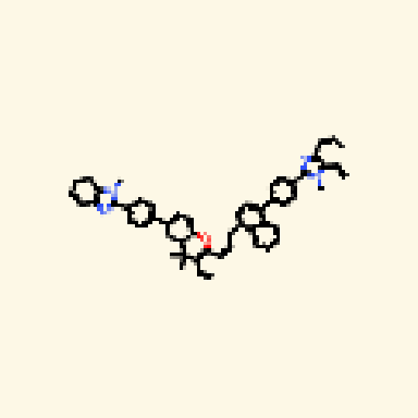 C=CC1=C(/C=C\Cc2ccc(-c3ccc(-c4nc(/C=C\C)c(C=C)n4C)cc3)c3ccccc23)OC2=CC=C(c3ccc(-c4nc5c(n4C)CCC=C5)cc3)CC2C1(C)C